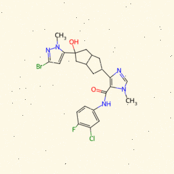 Cn1cnc(C2CC3CC(O)(c4cc(Br)nn4C)CC3C2)c1C(=O)Nc1ccc(F)c(Cl)c1